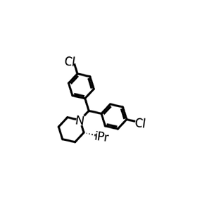 CC(C)[C@@H]1CCCCN1C(c1ccc(Cl)cc1)c1ccc(Cl)cc1